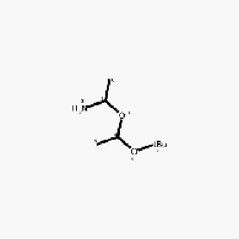 CC(N)OC(C)OC(C)(C)C